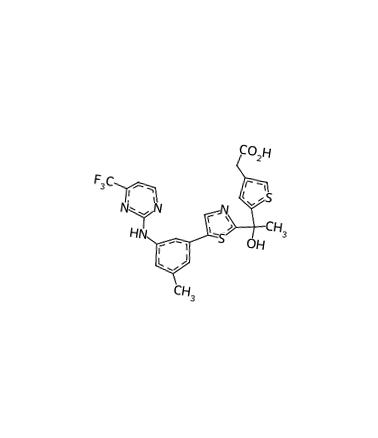 Cc1cc(Nc2nccc(C(F)(F)F)n2)cc(-c2cnc(C(C)(O)c3cc(CC(=O)O)cs3)s2)c1